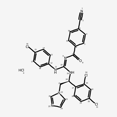 Cl.N#Cc1ccc(C(=O)/N=C(/Nc2ccc(Cl)cc2)N[C@H](Cn2ccnc2)c2ccc(Cl)cc2Cl)cc1